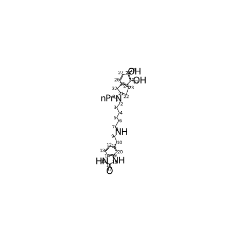 CCCN(CCCCCCNCCc1ccc2[nH]c(=O)[nH]c2c1)[C@H]1CCc2c(ccc(O)c2O)C1